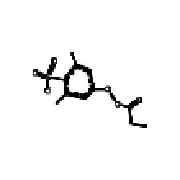 CCC(=O)OOc1cc(C)c(S(=O)(=O)Cl)c(C)c1